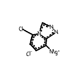 [Cl-].[Mg+][c]1ccc(Cl)n2cnnc12